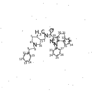 CN(CC1CCCN(CCc2ccccc2)C1)C(=O)c1nn(-c2ccccc2)c2c1CCc1sccc1-2